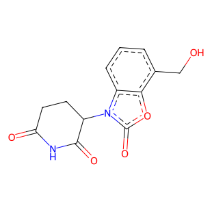 O=C1CCC(n2c(=O)oc3c(CO)cccc32)C(=O)N1